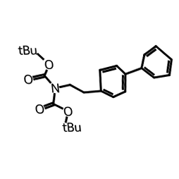 CC(C)(C)OC(=O)N(CCc1ccc(-c2ccccc2)cc1)C(=O)OC(C)(C)C